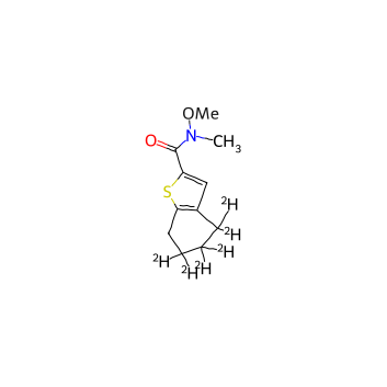 [2H]C1([2H])Cc2sc(C(=O)N(C)OC)cc2C([2H])([2H])C1([2H])[2H]